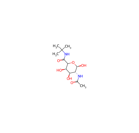 CC(=O)N[C@@H]1[C@@H](O)[C@@H](O)C(C(=O)NC(C)(C)C)O[C@H]1O